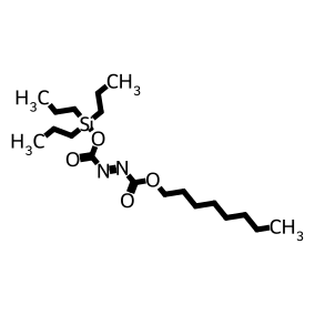 CCCCCCCCOC(=O)N=NC(=O)O[Si](CCC)(CCC)CCC